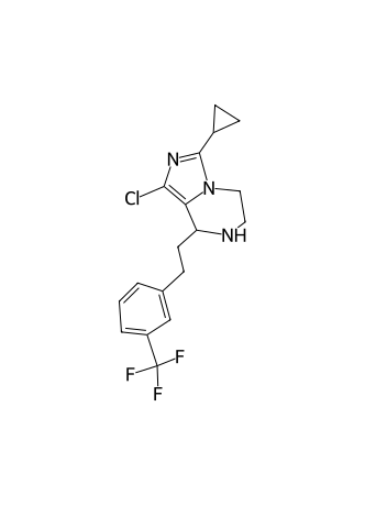 FC(F)(F)c1cccc(CCC2NCCn3c(C4CC4)nc(Cl)c32)c1